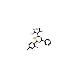 C=C(C)C(C(C)CCCCCC)C1CC(c2ccccc2)CC(c2ccc(C)cc2C)P1